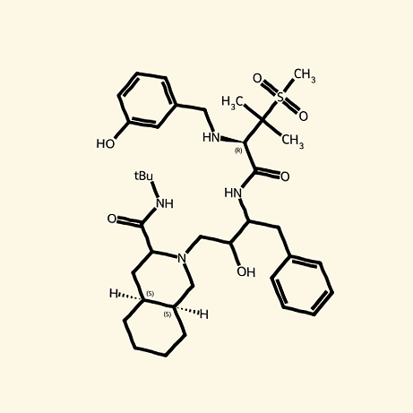 CC(C)(C)NC(=O)C1C[C@@H]2CCCC[C@@H]2CN1CC(O)C(Cc1ccccc1)NC(=O)[C@@H](NCc1cccc(O)c1)C(C)(C)S(C)(=O)=O